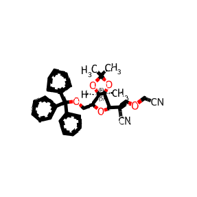 CC1(C)O[C@@H]2C(COC(c3ccccc3)(c3ccccc3)c3ccccc3)OC(C(C#N)=COCC#N)[C@]2(C)O1